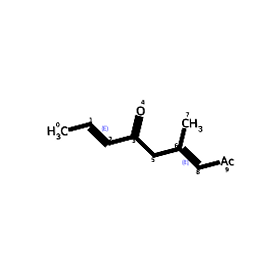 C/C=C/C(=O)C/C(C)=C/C(C)=O